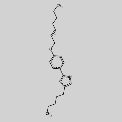 CCCC/C=C/COc1ccc(-c2ncc(CCCCC)s2)cc1